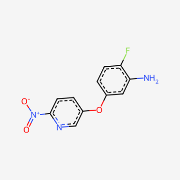 Nc1cc(Oc2ccc([N+](=O)[O-])nc2)ccc1F